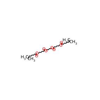 CC(C)CCCCCC(=O)OCCCCCC(=O)OCCCCOC(=O)CCCCCOC(=O)CCCCCC(C)C